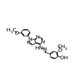 COc1cccc(-n2ncc3c(N/N=C/c4ccc(O)c(OC)c4)ncnc32)c1